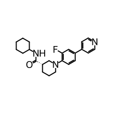 O=C(NC1CCCCC1)[C@H]1CCCN(c2ccc(-c3ccncc3)cc2F)C1